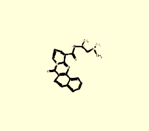 C[C@@H](CN(C)C)NC(=O)c1cccn2c(=O)c3ccc4ccccc4c3nc12